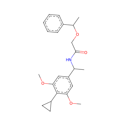 COc1cc(C(C)NC(=O)COC(C)c2ccccc2)cc(OC)c1C1CC1